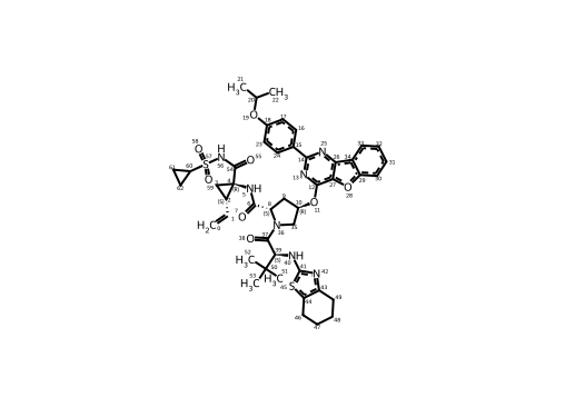 C=C[C@@H]1C[C@]1(NC(=O)[C@@H]1C[C@@H](Oc2nc(-c3ccc(OC(C)C)cc3)nc3c2oc2ccccc23)CN1C(=O)[C@@H](Nc1nc2c(s1)CCCC2)C(C)(C)C)C(=O)NS(=O)(=O)C1CC1